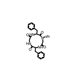 CCCN1CC(=O)NC(Cc2ccccc2)C(=O)NCC(=O)NC(Cc2ccccc2)C1=O